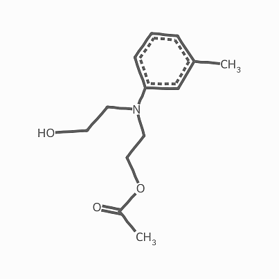 CC(=O)OCCN(CCO)c1cccc(C)c1